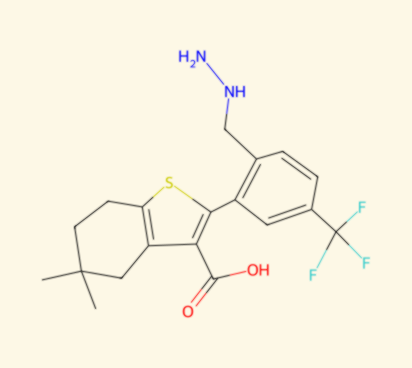 CC1(C)CCc2sc(-c3cc(C(F)(F)F)ccc3CNN)c(C(=O)O)c2C1